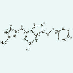 Cc1cc(Nc2nc(Cl)nc3c2cnn3CCN2CCOCC2)n[nH]1